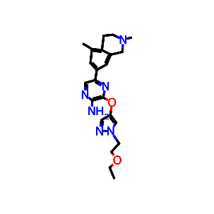 CCOCCn1cc(Oc2nc(-c3cc(C)c4c(c3)CN(C)CC4)cnc2N)cn1